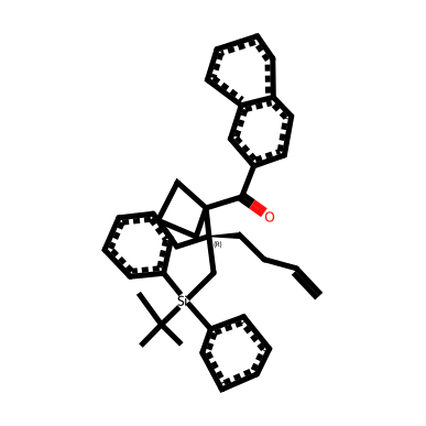 C=CCC[C@@]1(C[Si](c2ccccc2)(c2ccccc2)C(C)(C)C)CC2CC1(C(=O)c1ccc3ccccc3c1)C2